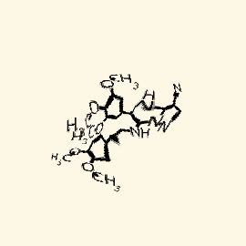 COc1ccc(CCNc2c(-c3cc(OC)c(OC)c(OC)c3)[nH]c3c(C#N)cnn23)cc1OC